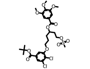 COc1cc(C(=O)OC(CCCOc2cc(C(=O)OC(C)(C)C)cc(Cl)c2Cl)CCOS(C)(=O)=O)cc(OC)c1OC